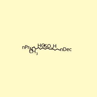 CCCCCCCCCCCCCCCCCCCCCCN(C)CCC.O=S(=O)(O)O